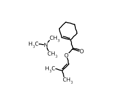 CC(C)=COC(=O)C1=CCCCC1.CN(C)C